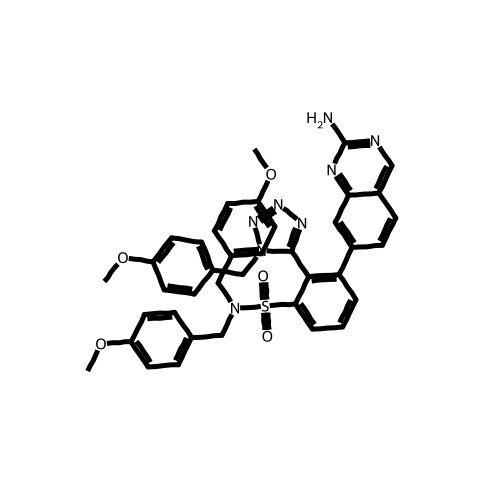 COc1ccc(CN(Cc2ccc(OC)cc2)S(=O)(=O)c2cccc(-c3ccc4cnc(N)nc4c3)c2-c2nnnn2Cc2ccc(OC)cc2)cc1